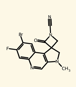 CN1CC2(CN(C#N)C2=O)c2c1cnc1cc(F)c(Br)cc21